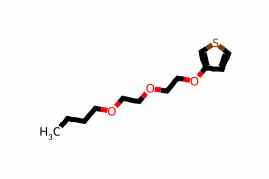 CCCCOCCOCCOc1ccsc1